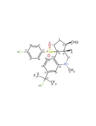 CN1C[C@H]2[C@H](C=O)CC[C@@]2(S(=O)(=O)c2ccc(F)cc2)c2ccc(C(F)(C(F)(F)F)C(F)(F)F)cc21